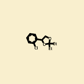 CCC1(CC)OCC(c2ccccc2Cl)O1